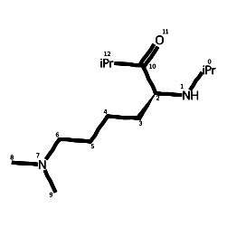 CC(C)N[C@@H](CCCCN(C)C)C(=O)C(C)C